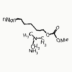 CCCCCCCCCCCCCCOC(=O)OC.CN(C)C.N